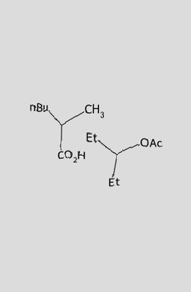 CCC(CC)OC(C)=O.CCCCC(C)C(=O)O